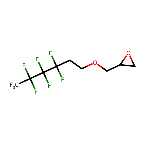 FC(F)(F)C(F)(F)C(F)(F)C(F)(F)CCOCC1CO1